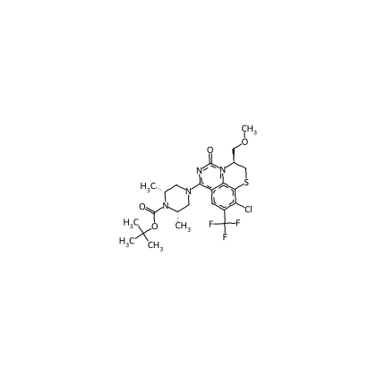 COC[C@H]1CSc2c(Cl)c(C(F)(F)F)cc3c(N4C[C@@H](C)N(C(=O)OC(C)(C)C)[C@@H](C)C4)nc(=O)n1c23